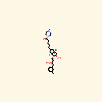 Cc1cccc(C[C@H](O)/C=C/[C@@H]2[C@H]3CC(CCCCC(=O)N4CCN(C)CC4)=C[C@H]3C[C@H]2O)c1